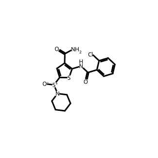 NC(=O)c1cc([S+]([O-])N2CCCCC2)sc1NC(=O)c1ccccc1Cl